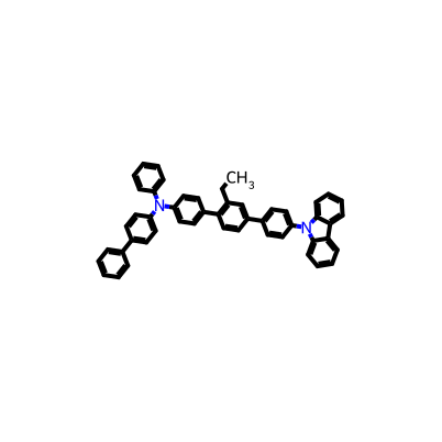 CCc1cc(-c2ccc(-n3c4ccccc4c4ccccc43)cc2)ccc1-c1ccc(N(c2ccccc2)c2ccc(-c3ccccc3)cc2)cc1